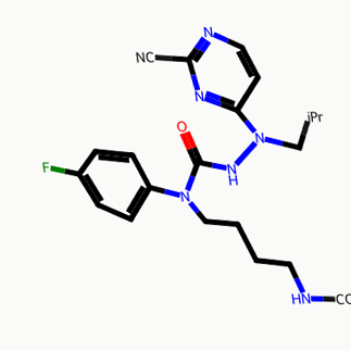 CC(C)CN(NC(=O)N(CCCCNC(=O)O)c1ccc(F)cc1)c1ccnc(C#N)n1